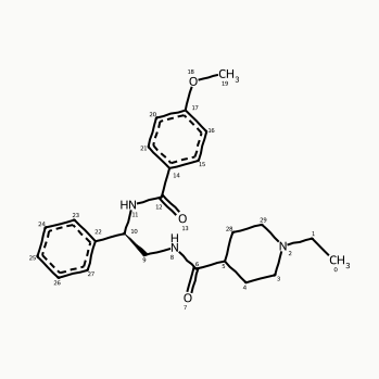 CCN1CCC(C(=O)NC[C@H](NC(=O)c2ccc(OC)cc2)c2ccccc2)CC1